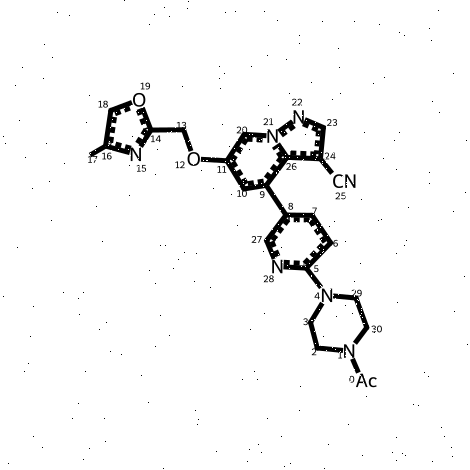 CC(=O)N1CCN(c2ccc(-c3cc(OCc4nc(C)co4)cn4ncc(C#N)c34)cn2)CC1